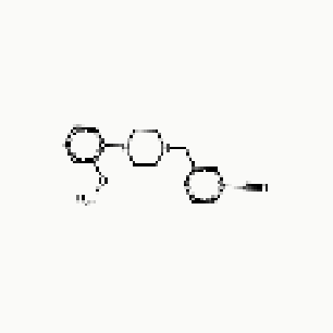 COc1ccccc1N1CCN(Cc2cccc(C#N)c2)CC1